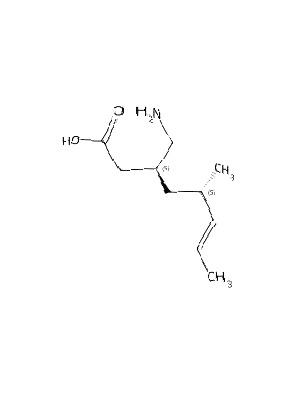 CC=C[C@@H](C)C[C@H](CN)CC(=O)O